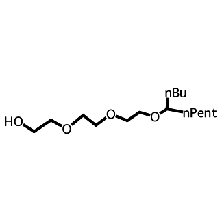 CCCCCC(CCCC)OCCOCCOCCO